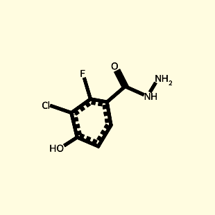 NNC(=O)c1ccc(O)c(Cl)c1F